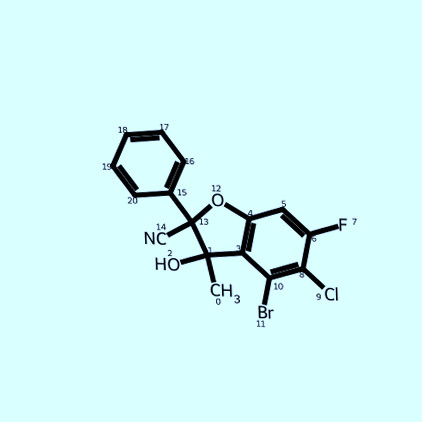 CC1(O)c2c(cc(F)c(Cl)c2Br)OC1(C#N)c1ccccc1